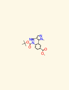 COC(=O)c1ccc(NC(=O)OC(C)(C)C)c(-c2c(C#N)cnn2C)c1